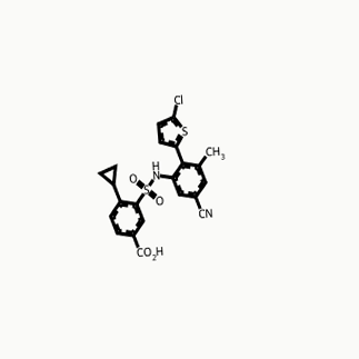 Cc1cc(C#N)cc(NS(=O)(=O)c2cc(C(=O)O)ccc2C2CC2)c1-c1ccc(Cl)s1